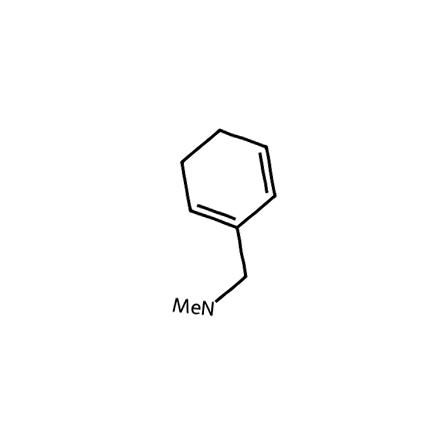 CNCC1=CCCC=C1